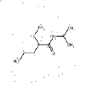 CCCC(OC)C(=O)NC(C)C